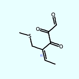 C/C=C(/CSC)C(=O)C(=O)C=O